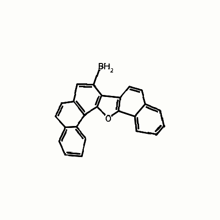 Bc1cc2ccc3ccccc3c2c2oc3c4ccccc4ccc3c12